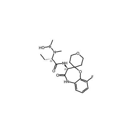 CC[C@@H](C(=O)N[C@@H]1C(=O)Nc2cccc(F)c2OC12CCOCC2)N(C)B(C)O